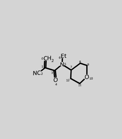 C=C(C#N)C(=O)N(CC)C1CCOCC1